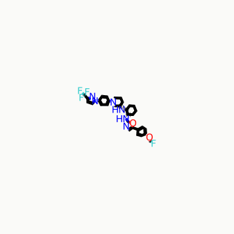 FCOc1ccc(-c2cnc(N[C@@H]3CCCC[C@H]3N[C@H]3CCCN(c4ccc(-n5ccc(C(F)(F)F)n5)cc4)C3)o2)cc1